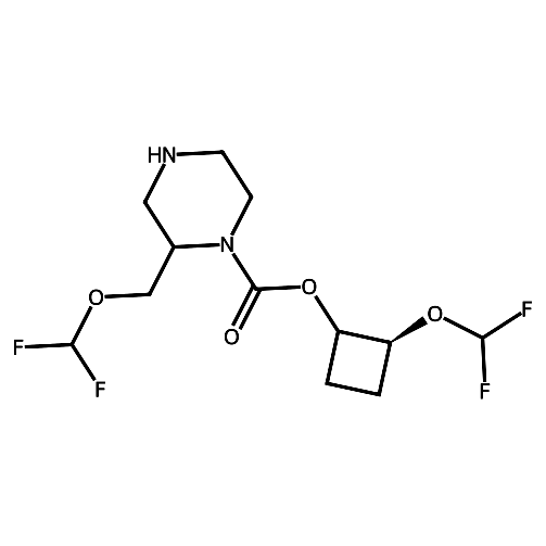 O=C(OC1CC[C@@H]1OC(F)F)N1CCNCC1COC(F)F